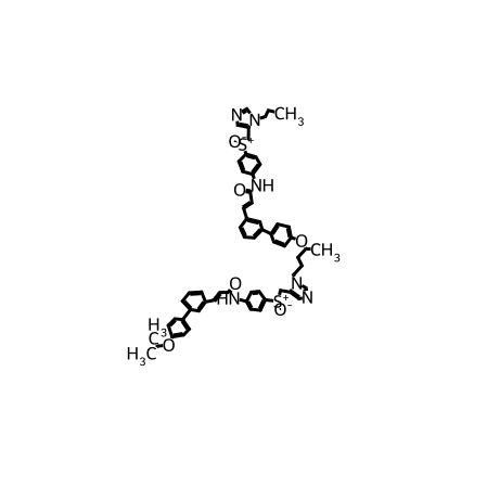 CCCn1cncc1C[S@@+]([O-])c1ccc(NC(=O)/C=C/c2cccc(-c3ccc(OC(C)CCCn4cncc4C[S@+]([O-])c4ccc(NC(=O)/C=C/c5cccc(-c6ccc(OC(C)C)cc6)c5)cc4)cc3)c2)cc1